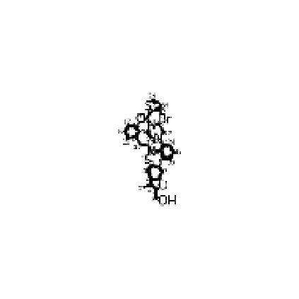 Cc1c(CO)oc2ccc(SN(CCc3ccccc3)c3ccccc3N3CCN(C(=O)c4sccc4Br)CC3)cc12